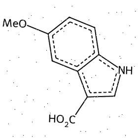 COc1ccc2[nH]cc(C(=O)O)c2c1